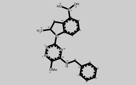 COc1nnc(N2c3cccc(B(O)O)c3CC2C)nc1NCc1ccccc1